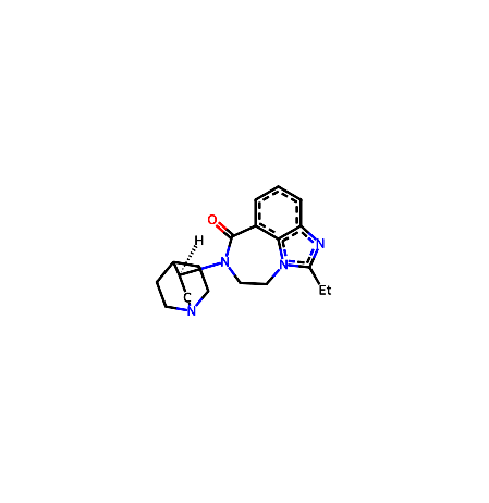 CCc1nc2cccc3c2n1CCN([C@H]1CN2CCC1CC2)C3=O